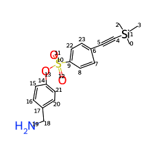 C[Si](C)(C)C#Cc1ccc(S(=O)(=O)Oc2ccc(CN)cc2)cc1